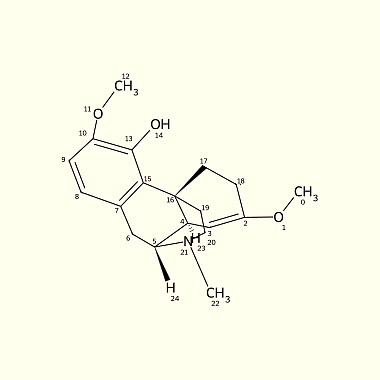 COC1=C[C@H]2[C@H]3Cc4ccc(OC)c(O)c4[C@]2(C[CH]1)CCN3C